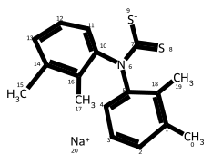 Cc1cccc(N(C(=S)[S-])c2cccc(C)c2C)c1C.[Na+]